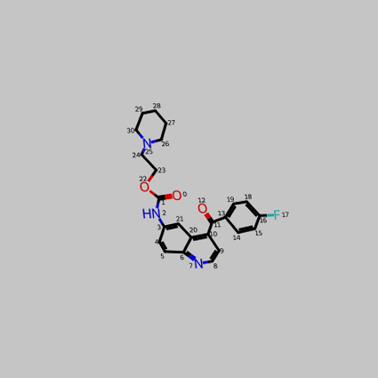 O=C(Nc1ccc2nccc(C(=O)c3ccc(F)cc3)c2c1)OCCN1CCCCC1